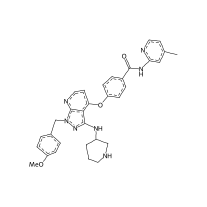 COc1ccc(Cn2nc(NC3CCCNC3)c3c(Oc4ccc(C(=O)Nc5cc(C)ccn5)cc4)ccnc32)cc1